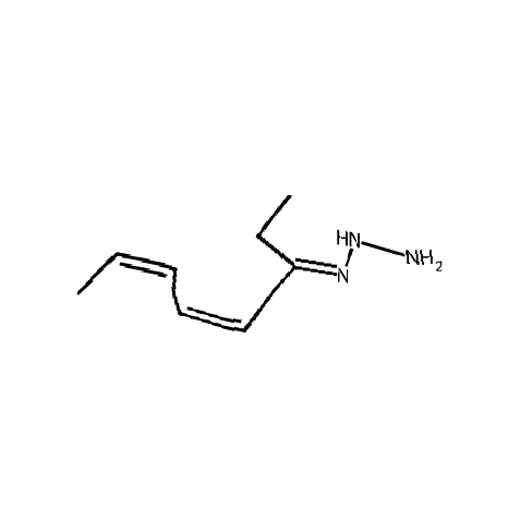 C\C=C/C=C\C(CC)=N\NN